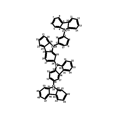 c1cc(-n2c3ccccc3c3ccccc32)cc(-n2c3ccccc3c3ccc(-n4c5ccccc5c5cc(-n6c7ccccc7c7ccccc76)ccc54)cc32)c1